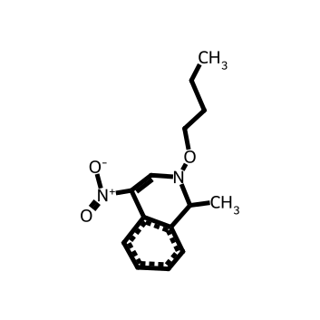 CCCCON1C=C([N+](=O)[O-])c2ccccc2C1C